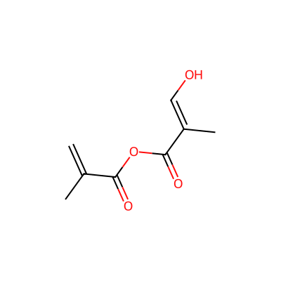 C=C(C)C(=O)OC(=O)C(C)=CO